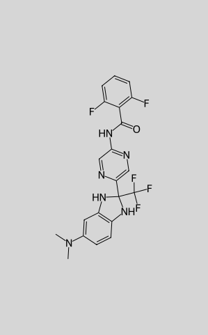 CN(C)c1ccc2c(c1)NC(c1cnc(NC(=O)c3c(F)cccc3F)cn1)(C(F)(F)F)N2